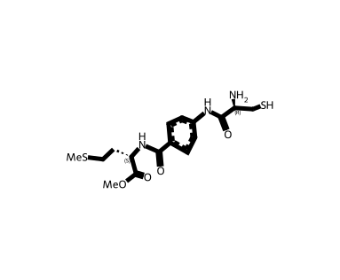 COC(=O)[C@H](CCSC)NC(=O)c1ccc(NC(=O)[C@@H](N)CS)cc1